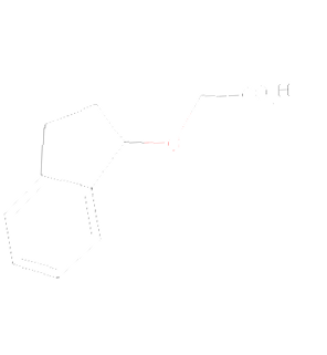 O=C(O)COC1CCc2ccccc21